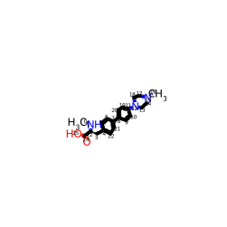 CN[C@@H](Cc1ccc(-c2ccc(N3CCN(C)CC3)cc2)cc1)C(=O)O